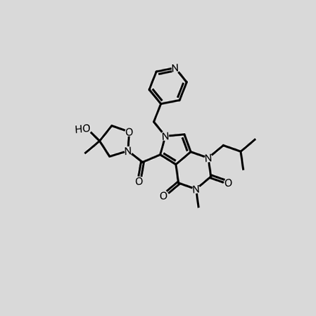 CC(C)Cn1c(=O)n(C)c(=O)c2c(C(=O)N3CC(C)(O)CO3)n(Cc3ccncc3)cc21